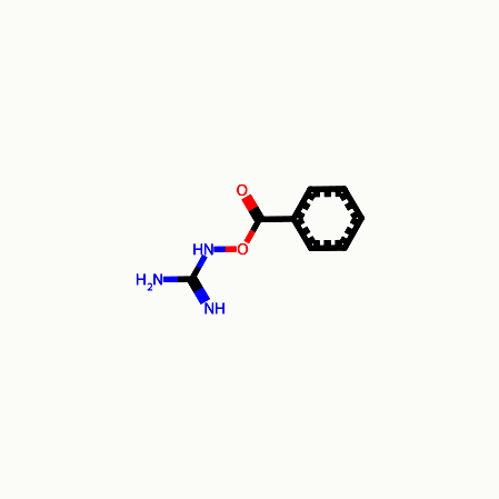 N=C(N)NOC(=O)c1ccccc1